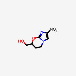 O=[N+]([O-])c1cn2c(n1)OC(CO)CC2